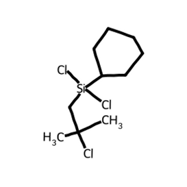 CC(C)(Cl)C[Si](Cl)(Cl)C1CCCCC1